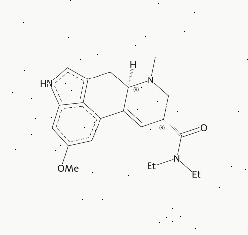 CCN(CC)C(=O)[C@@H]1C=C2c3cc(OC)cc4[nH]cc(c34)C[C@H]2N(C)C1